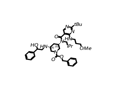 COCCCNc1nc(C(C)(C)C)ncc1C(=O)N(CC(C)C)[C@H]1C[C@@H](NCC(O)c2ccccc2)CN(C(=O)OCc2ccccc2)C1